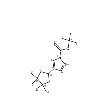 CC(C)(C)OC(=O)n1cc(C2CC(C)(C)C(C)(C)C2)cn1